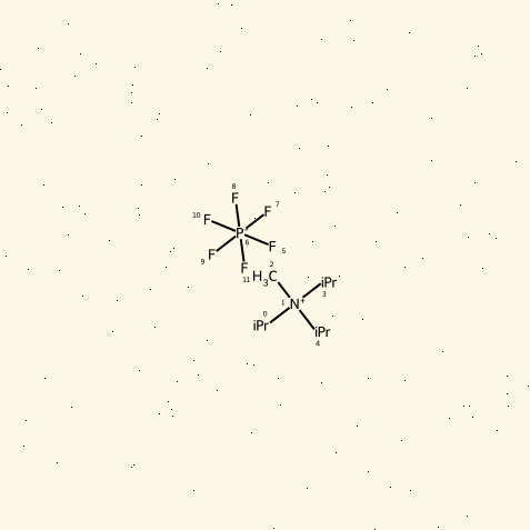 CC(C)[N+](C)(C(C)C)C(C)C.F[P-](F)(F)(F)(F)F